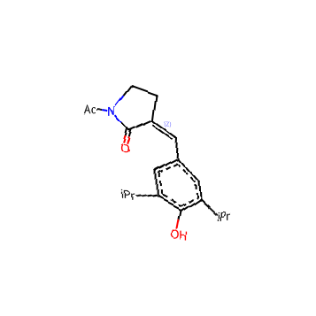 CC(=O)N1CC/C(=C/c2cc(C(C)C)c(O)c(C(C)C)c2)C1=O